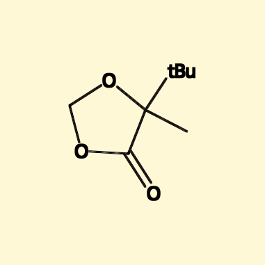 CC(C)(C)C1(C)OCOC1=O